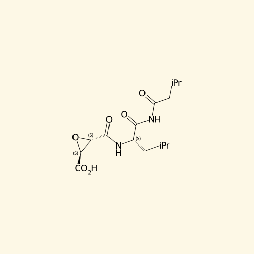 CC(C)CC(=O)NC(=O)[C@H](CC(C)C)NC(=O)[C@H]1O[C@@H]1C(=O)O